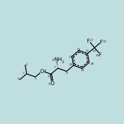 CC(C)COC(=O)[C@H](N)Cc1ccc(C(F)(F)F)cc1